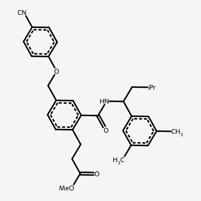 [C-]#[N+]c1ccc(OCc2ccc(CCC(=O)OC)c(C(=O)NC(CC(C)C)c3cc(C)cc(C)c3)c2)cc1